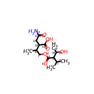 CC(C)C(C(=O)OCC(C)C(CC(N)=O)C(=O)O)C(C)O